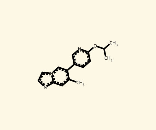 Cc1cc2nccn2cc1-c1ccc(OC(C)C)nc1